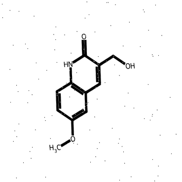 COc1ccc2[nH]c(=O)c(CO)cc2c1